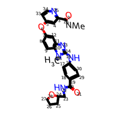 CNC(=O)c1cc(Oc2ccc3c(c2)nc(Nc2ccc(C(=O)NCC4CCCO4)cc2)n3C)ccn1